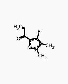 C=CC(=O)c1nn(C)c(C)c1Br